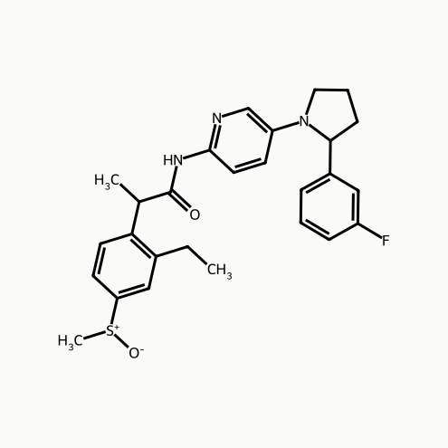 CCc1cc([S+](C)[O-])ccc1C(C)C(=O)Nc1ccc(N2CCCC2c2cccc(F)c2)cn1